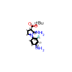 CC(C)(C)OC(=O)[C@@H]1CCN(c2ccc(N)cc2F)C1N